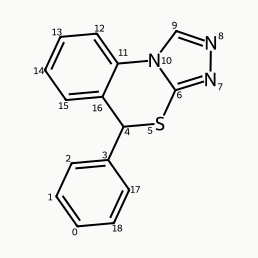 c1ccc(C2Sc3nncn3-c3ccccc32)cc1